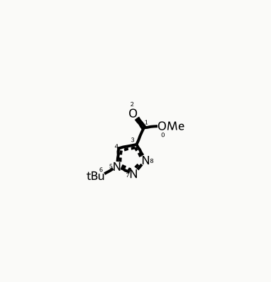 COC(=O)c1cn(C(C)(C)C)nn1